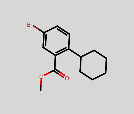 COC(=O)c1cc(Br)ccc1C1CCCCC1